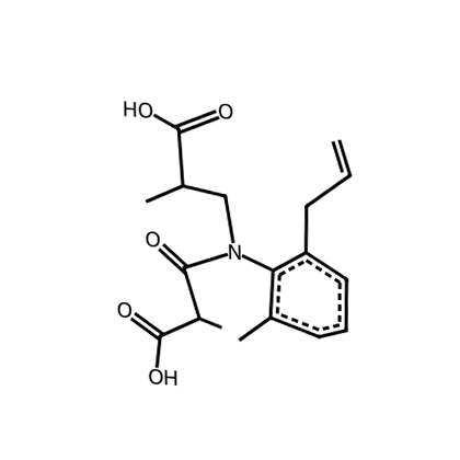 C=CCc1cccc(C)c1N(CC(C)C(=O)O)C(=O)C(C)C(=O)O